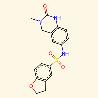 CN1Cc2cc(NS(=O)(=O)c3ccc4c(c3)CCO4)ccc2NC1=O